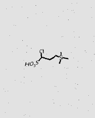 C[Si](C)(C)CCC(Cl)S(=O)(=O)O